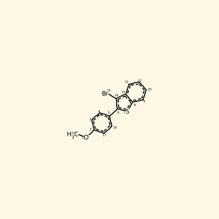 COc1ccc(-c2sc3ccccc3c2Br)cc1